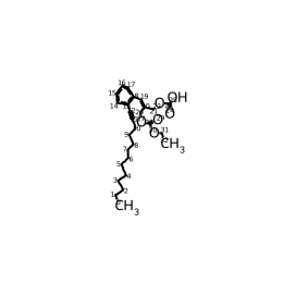 CCCCCCCCCCCC#Cc1ccccc1C=C(COC(=O)O)COC(=O)OCC